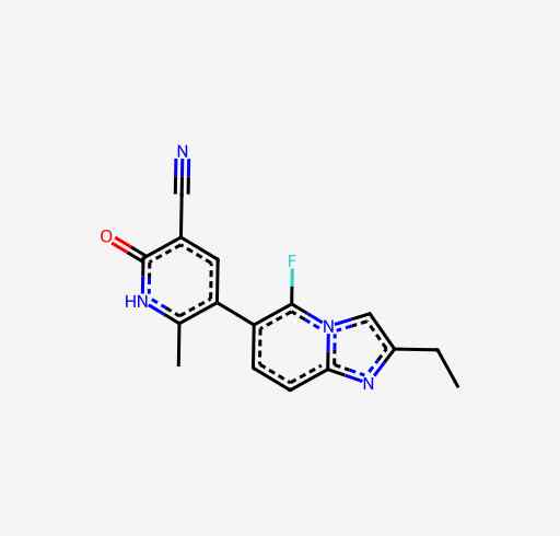 CCc1cn2c(F)c(-c3cc(C#N)c(=O)[nH]c3C)ccc2n1